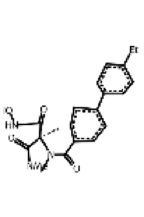 CCc1ccc(-c2ccc(C(=O)N(C)[C@@](C)(C(=O)NC)C(=O)NO)cc2)cc1